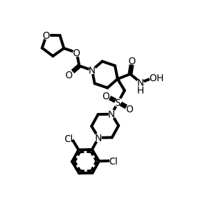 O=C(OC1CCOC1)N1CCC(CS(=O)(=O)N2CCN(c3c(Cl)cccc3Cl)CC2)(C(=O)NO)CC1